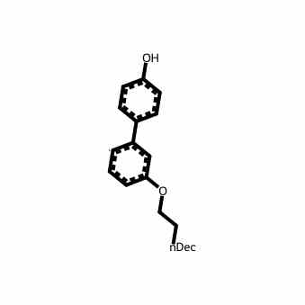 CCCCCCCCCCCCOc1cc[c]c(-c2ccc(O)cc2)c1